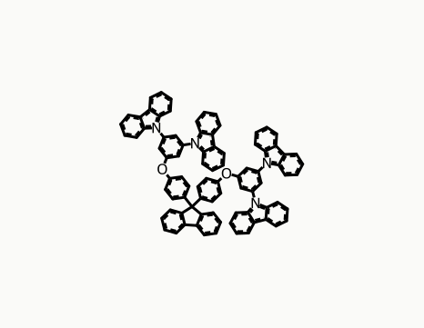 c1ccc2c(c1)-c1ccccc1C2(c1ccc(Oc2cc(-n3c4ccccc4c4ccccc43)cc(-n3c4ccccc4c4ccccc43)c2)cc1)c1ccc(Oc2cc(-n3c4ccccc4c4ccccc43)cc(-n3c4ccccc4c4ccccc43)c2)cc1